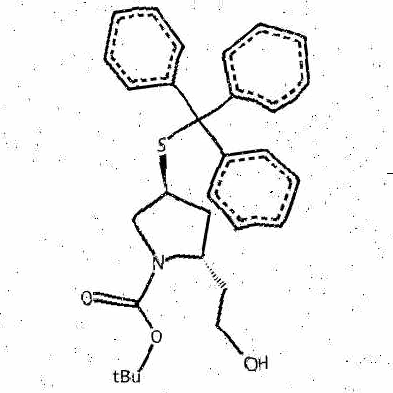 CC(C)(C)OC(=O)N1C[C@@H](SC(c2ccccc2)(c2ccccc2)c2ccccc2)C[C@@H]1CCO